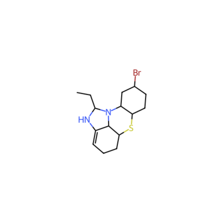 CCC1NC2=CCCC3SC4CCC(Br)CC4N1C23